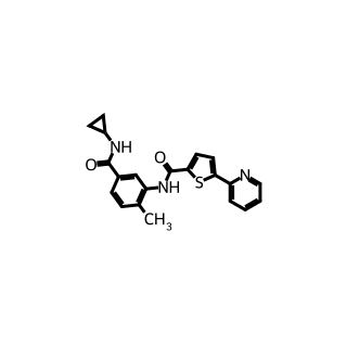 Cc1ccc(C(=O)NC2CC2)cc1NC(=O)c1ccc(-c2ccccn2)s1